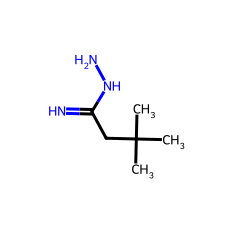 CC(C)(C)CC(=N)NN